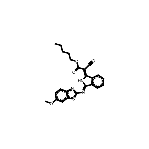 CCCCCOC(=O)/C(C#N)=C1\N/C(=N\c2nc3ccc(OC)cc3s2)c2ccccc21